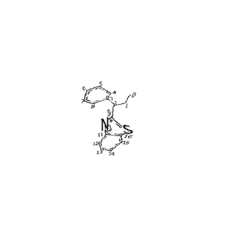 CCC(c1ccccc1)c1nc2ccccc2s1